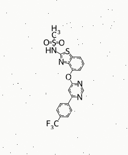 CS(=O)(=O)Nc1nc2c(Oc3cc(-c4ccc(C(F)(F)F)cc4)ncn3)cccc2s1